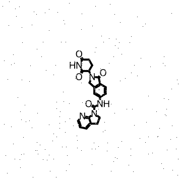 O=C1CCC(N2Cc3cc(NC(=O)N4CCc5cccnc54)ccc3C2=O)C(=O)N1